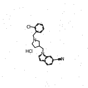 Cl.N#Cc1ccc2ccn(CC3CCN(Cc4ccccc4Cl)C3)c2c1